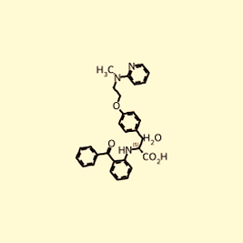 CN(CCOc1ccc(C[C@H](Nc2ccccc2C(=O)c2ccccc2)C(=O)O)cc1)c1ccccn1.O